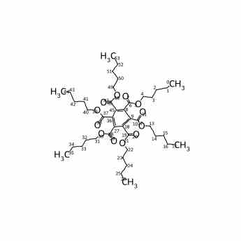 CCCCCOC(=O)c1c(C(=O)OCCCCC)c(C(=O)OCCCCC)c(C(=O)OCCCCC)c(C(=O)OCCCCC)c1C(=O)OCCCCC